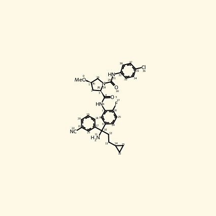 CO[C@@H]1C[C@H](C(=O)Nc2cc(C(N)(CCC3CC3)c3cccc(C#N)c3)ccc2F)N(C(=O)Nc2ccc(Cl)cc2)C1